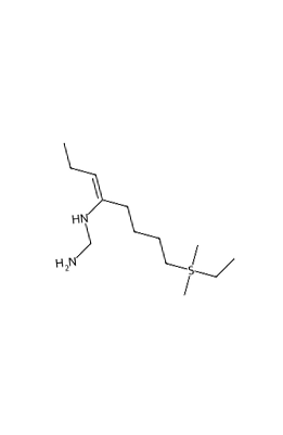 CC/C=C(/CCCCS(C)(C)CC)NCN